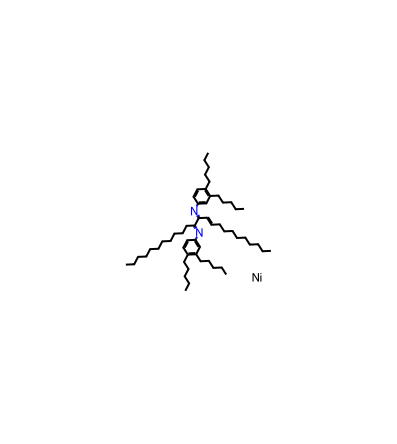 CCCCCCCCCC=CC(=Nc1ccc(CCCCC)c(CCCCC)c1)C(CCCCCCCCCCC)=Nc1ccc(CCCCC)c(CCCCC)c1.[Ni]